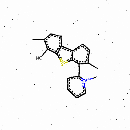 Cc1ccc2c(sc3c(-c4cccc[n+]4C)c(C)ccc32)c1C#N